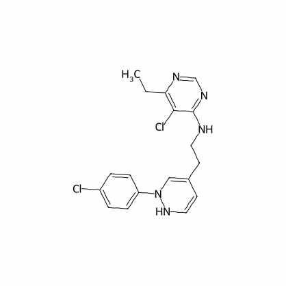 CCc1ncnc(NCCC2=CN(c3ccc(Cl)cc3)NC=C2)c1Cl